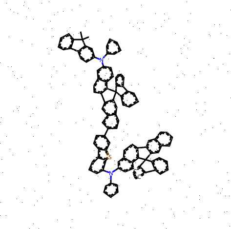 CC1(C)c2ccccc2-c2ccc(N(c3ccccc3)c3ccc4c5c(ccc4c3)-c3cc4cc(-c6ccc7c(c6)sc6c(N(c8ccccc8)c8ccc9c%10c(ccc9c8)-c8cc9ccccc9cc8C%108c9ccccc9-c9ccccc98)cccc67)ccc4cc3C53c4ccccc4-c4ccccc43)cc21